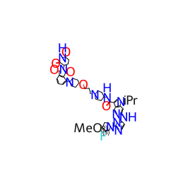 CO[C@@H]1CCN(c2nccc(Nc3cc4c(cn3)c(C(=O)NC3CCN(CCCOC5CCN(c6cccc7c6C(=O)N(C6CCC(=O)NC6=O)C7=O)CC5)CC3)cn4C(C)C)n2)C[C@@H]1F